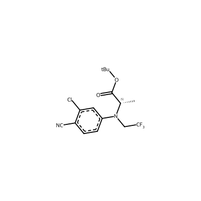 C[C@@H](C(=O)OC(C)(C)C)N(CC(F)(F)F)c1ccc(C#N)c(Cl)c1